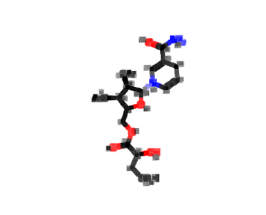 CC(=O)O[C@@H]1[C@H](OC(C)=O)C(COC(=O)[C@@H](O)CC(=O)O)O[C@H]1N1C=CCC(C(N)=O)=C1